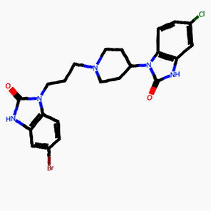 O=c1[nH]c2cc(Br)ccc2n1CCCN1CCC(n2c(=O)[nH]c3cc(Cl)ccc32)CC1